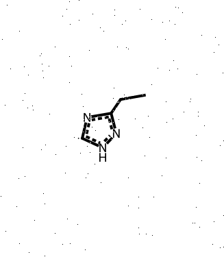 CCc1n[c][nH]n1